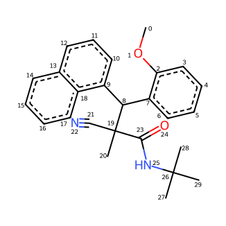 COc1ccccc1C(c1cccc2ccccc12)C(C)(C#N)C(=O)NC(C)(C)C